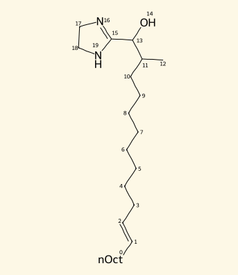 CCCCCCCCC=CCCCCCCCCC(C)C(O)C1=NCCN1